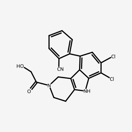 N#Cc1ccccc1-c1cc(Cl)c(Cl)c2[nH]c3c(c12)CN(C(=O)CO)CC3